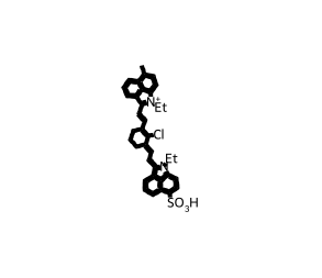 CCn1/c(=C\C=C2/CCCC(/C=C/C3=[N+](CC)c4ccc(C)c5cccc3c45)=C2Cl)c2cccc3c(S(=O)(=O)O)ccc1c32